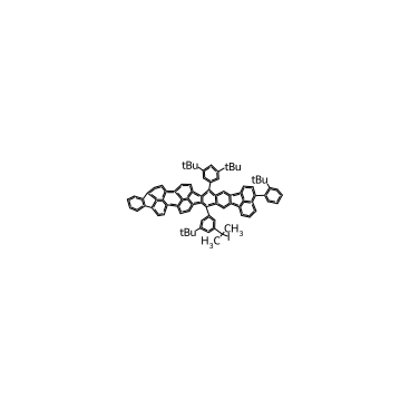 CC(C)(C)c1cc(-c2c3cc4c(cc3c(-c3cc(C(C)(C)C)cc(C(C)(C)I)c3)c3c5ccc6c7ccc8c9c(ccc(c%10ccc(c23)c5c%106)c97)-c2ccccc2-8)c2cccc3c(-c5ccccc5C(C)(C)C)ccc4c32)cc(C(C)(C)C)c1